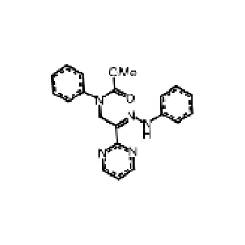 COC(=O)N(C/C(=N/Nc1ccccc1)c1ncccn1)c1ccccc1